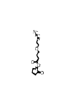 [N-]=[N+]=NCCOCCCC(=O)ON1CCCC1=O